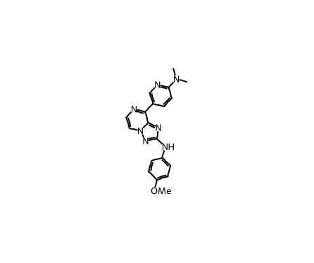 COc1ccc(Nc2nc3c(-c4ccc(N(C)C)nc4)nccn3n2)cc1